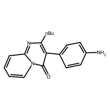 CCCCc1nc2ccccn2c(=O)c1-c1ccc(N)cc1